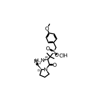 COc1ccc(CS(=O)(=O)C(C)(C)[C@H](N)C(=O)N2CCC[C@H]2C#N)cc1.Cl